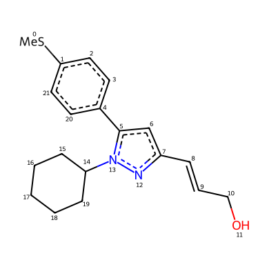 CSc1ccc(-c2cc(/C=C/CO)nn2C2CCCCC2)cc1